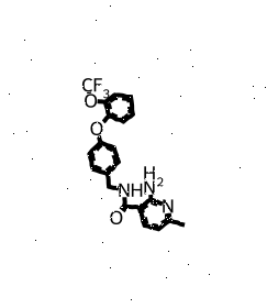 Cc1ccc(C(=O)NCc2ccc(Oc3ccccc3OC(F)(F)F)cc2)c(N)n1